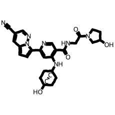 N#Cc1cnn2c(-c3cc(NC45CCC(O)(CC4)CC5)c(C(=O)NCC(=O)N4CCC(O)C4)cn3)ccc2c1